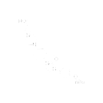 CCCCOc1ccc(-n2ccn(C3CCC(N4CCN(CCO)CC4)CC3)c2=O)cc1